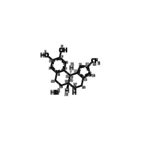 Br.Oc1cc2c(cc1O)[C@H]1c3cc(C(F)(F)F)sc3CN[C@@H]1CC2